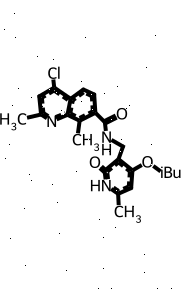 CCC(C)Oc1cc(C)[nH]c(=O)c1CNC(=O)c1ccc2c(Cl)cc(C)nc2c1C